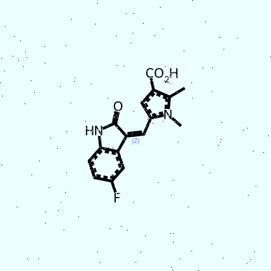 Cc1c(C(=O)O)cc(/C=C2\C(=O)Nc3ccc(F)cc32)n1C